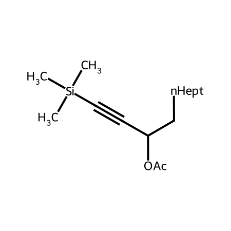 CCCCCCCCC(C#C[Si](C)(C)C)OC(C)=O